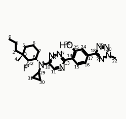 CCC[C@]1(C)CCC[C@H](N(c2cnc(-c3ccc(-c4nnn(C)n4)cc3O)nn2)C2CC2)[C@@H]1F